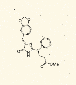 COC(=O)CCN(C1=N/C(=C\c2ccc3c(c2)OCO3)C(=O)N1)c1ccccc1